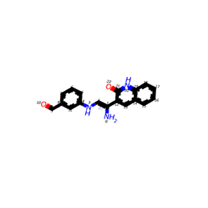 N/C(=C\Nc1cccc(C=O)c1)c1cc2ccccc2[nH]c1=O